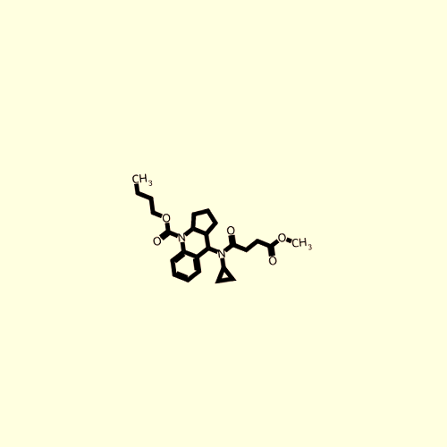 CCCCOC(=O)N1c2ccccc2C(N(C(=O)CCC(=O)OC)C2CC2)C2CCCC21